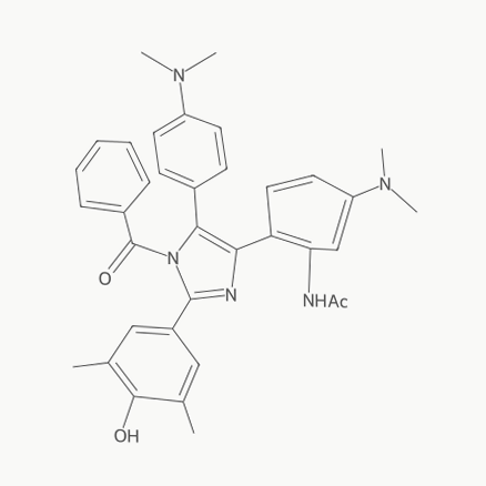 CC(=O)Nc1cc(N(C)C)ccc1-c1nc(-c2cc(C)c(O)c(C)c2)n(C(=O)c2ccccc2)c1-c1ccc(N(C)C)cc1